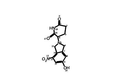 O=C1CCC(N2Cc3cc(O)cc([N+](=O)[O-])c3C2)C(=O)N1